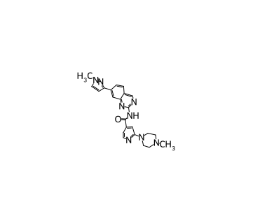 CN1CCN(c2cc(C(=O)Nc3ncc4ccc(-c5ccn(C)n5)cc4n3)ccn2)CC1